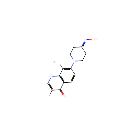 COc1c(N2CCC(=NO)CC2)ccc2c(=O)c(C(=O)O)c[nH]c12